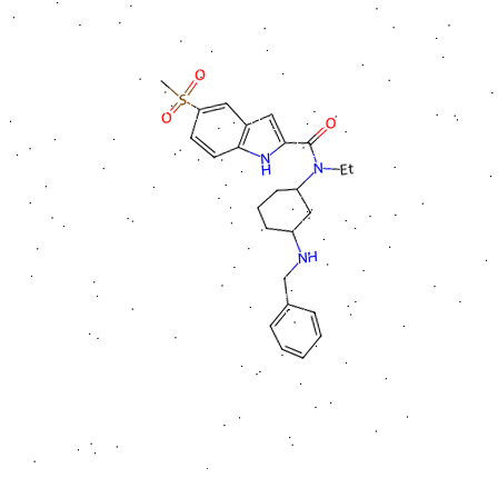 CCN(C(=O)c1cc2cc(S(C)(=O)=O)ccc2[nH]1)C1CCCC(NCc2ccccc2)C1